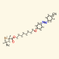 CC(=O)C(C)(C)CC(C)(Br)C(=O)OCCCCCCCCOc1ccc(N=Nc2ccc(C#N)cc2)cc1